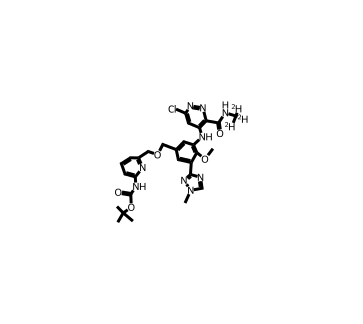 [2H]C([2H])([2H])NC(=O)c1nnc(Cl)cc1Nc1cc(COCc2cccc(NC(=O)OC(C)(C)C)n2)cc(-c2ncn(C)n2)c1OC